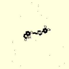 COc1ccc(N2CCN(CCCOc3ccc4c(c3)NC(=O)CC4)CC2)cc1OC